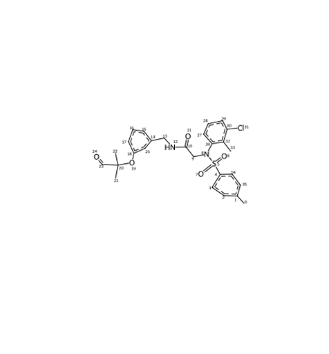 Cc1ccc(S(=O)(=O)N(CC(=O)NCc2cccc(OC(C)(C)C=O)c2)c2cccc(Cl)c2C)cc1